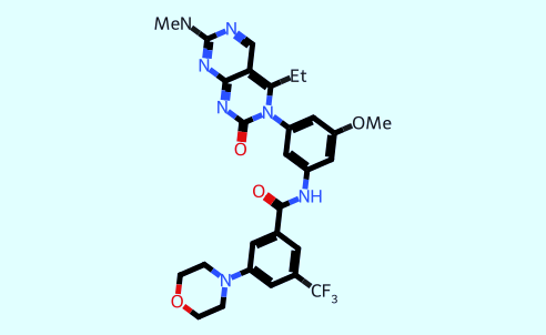 CCc1c2cnc(NC)nc2nc(=O)n1-c1cc(NC(=O)c2cc(N3CCOCC3)cc(C(F)(F)F)c2)cc(OC)c1